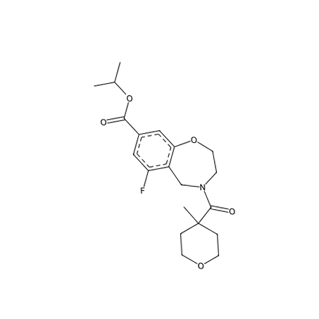 CC(C)OC(=O)c1cc(F)c2c(c1)OCCN(C(=O)C1(C)CCOCC1)C2